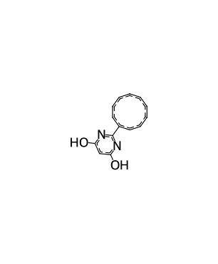 Oc1cc(O)nc(-c2ccccccccc2)n1